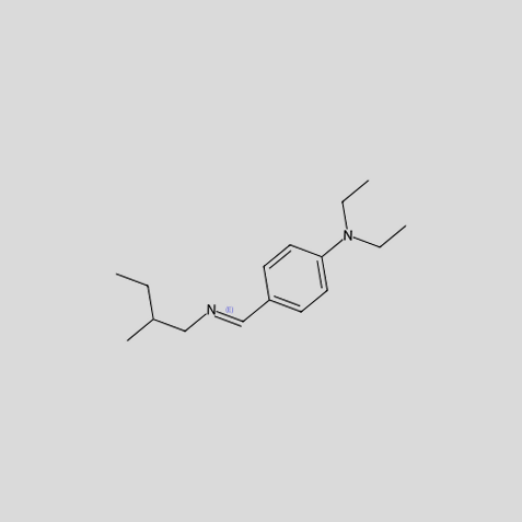 CCC(C)C/N=C/c1ccc(N(CC)CC)cc1